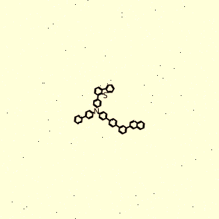 c1ccc(-c2ccc(N(c3ccc(-c4ccc(-c5cccc(-c6ccc7ccccc7c6)c5)cc4)cc3)c3ccc(-c4cccc5c4sc4ccccc45)cc3)cc2)cc1